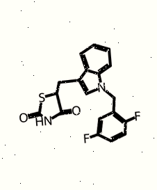 O=C1NC(=O)C(Cc2cn(Cc3cc(F)ccc3F)c3ccccc23)S1